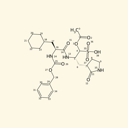 CC(=O)OC([C@H](C[C@@H]1CCNC1=O)NC(=O)[C@H](CC1CCCCC1)NC(=O)OCc1ccccc1)S(=O)(=O)O